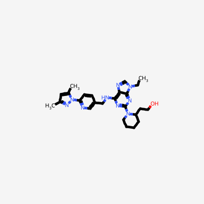 CCn1cnc2c(NCc3ccc(-n4nc(C)cc4C)nc3)nc(N3CCCCC3CCO)nc21